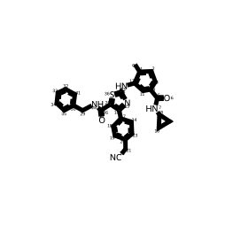 Cc1ccc(C(=O)NC2CC2)cc1Nc1nc(-c2ccc(CC#N)cc2)c(C(=O)NCc2ccccc2)s1